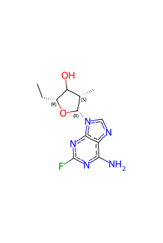 CC[C@H]1O[C@@H](n2cnc3c(N)nc(F)nc32)[C@@H](C)C1O